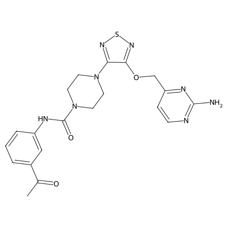 CC(=O)c1cccc(NC(=O)N2CCN(c3nsnc3OCc3ccnc(N)n3)CC2)c1